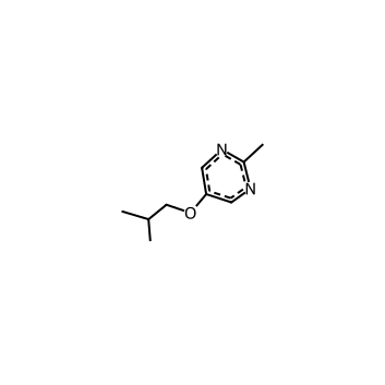 Cc1ncc(OCC(C)C)cn1